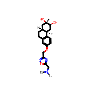 CCN(CC)Cc1nc(COc2ccc3c(c2)CC[C@@H]2C[C@](C)(O)[C@@H](O)C[C@@]32CC)no1